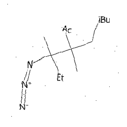 CCC(C)CC(C)(C(C)=O)C(C)(CC)N=[N+]=[N-]